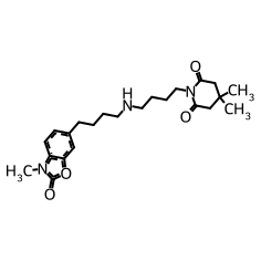 Cn1c(=O)oc2cc(CCCCNCCCCN3C(=O)CC(C)(C)CC3=O)ccc21